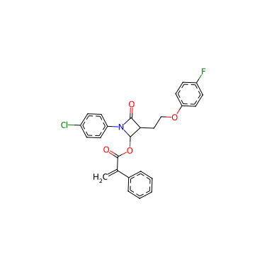 C=C(C(=O)OC1C(CCOc2ccc(F)cc2)C(=O)N1c1ccc(Cl)cc1)c1ccccc1